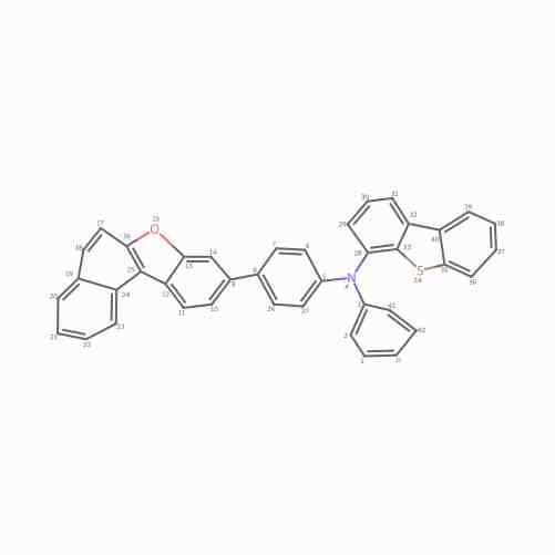 c1ccc(N(c2ccc(-c3ccc4c(c3)oc3ccc5ccccc5c34)cc2)c2cccc3c2sc2ccccc23)cc1